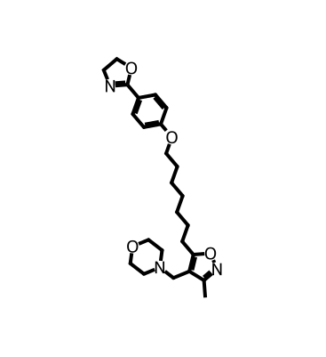 Cc1noc(CCCCCCCOc2ccc(C3=NCCO3)cc2)c1CN1CCOCC1